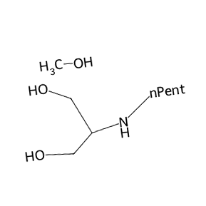 CCCCCNC(CO)CO.CO